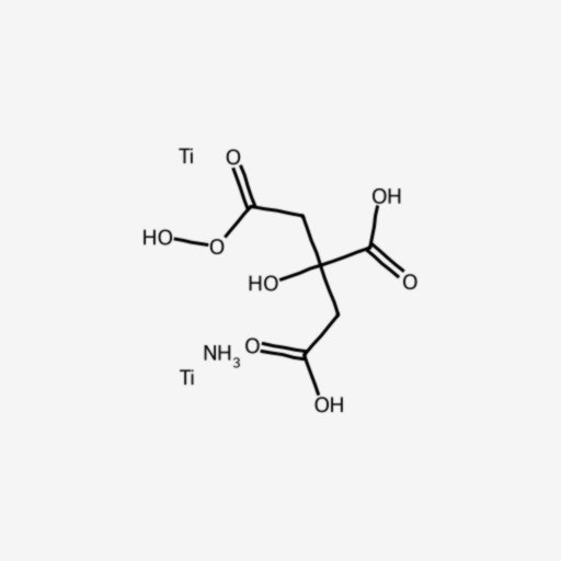 N.O=C(O)CC(O)(CC(=O)OO)C(=O)O.[Ti].[Ti]